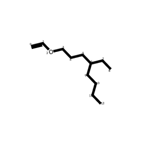 C=COCCCC(CC)CCCC